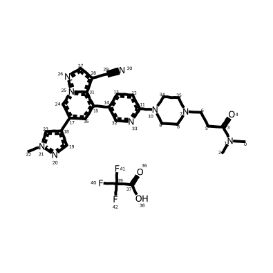 CN(C)C(=O)CCN1CCN(c2ccc(-c3cc(-c4cnn(C)c4)cn4ncc(C#N)c34)cn2)CC1.O=C(O)C(F)(F)F